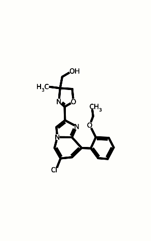 CCOc1ccccc1-c1cc(Cl)cn2cc(C3=NC(C)(CO)CO3)nc12